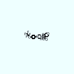 O=C(O)C1(S(=O)(=O)N2CCN(c3ccc(OC(F)(F)C(F)F)cc3)CC2)CCOCC1